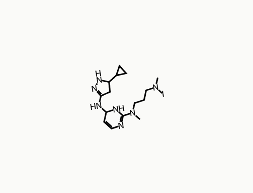 CN(I)CCCN(C)C1=NC=CC(NC2=NNC(C3CC3)C2)N1